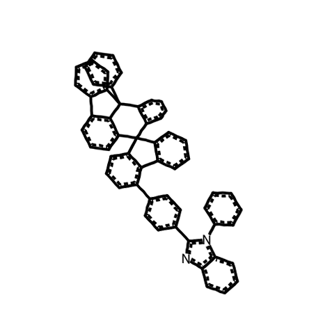 c1ccc(-n2c(-c3ccc(-c4cccc5c4-c4ccccc4C54c5ccccc5C5(c6ccccc6)c6ccccc6-c6cccc4c65)cc3)nc3ccccc32)cc1